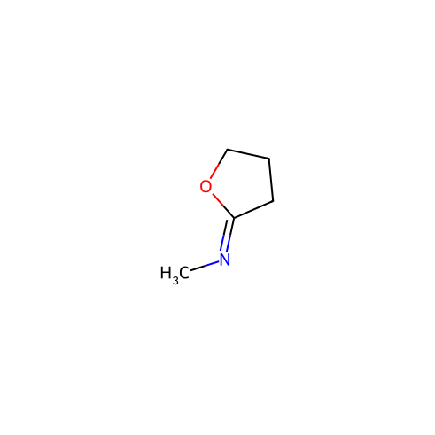 CN=C1CCCO1